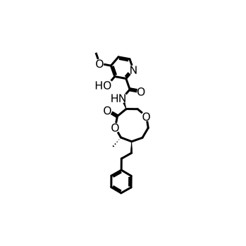 COc1ccnc(C(=O)N[C@H]2COCC[C@@H](CCc3ccccc3)[C@H](C)OC2=O)c1O